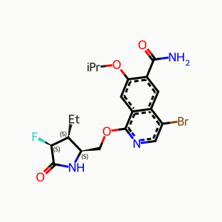 CC[C@@H]1[C@H](F)C(=O)N[C@@H]1COc1ncc(Br)c2cc(C(N)=O)c(OC(C)C)cc12